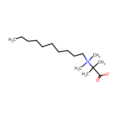 CCCCCCCCCC[N+](C)(C)C(C)(C)C(=O)[O-]